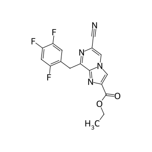 CCOC(=O)c1cn2cc(C#N)nc(Cc3cc(F)c(F)cc3F)c2n1